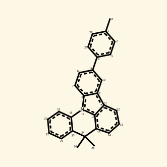 Cc1ccc(-c2ccc3c(c2)c2cccc4c2n3-c2ccccc2C4(C)C)cc1